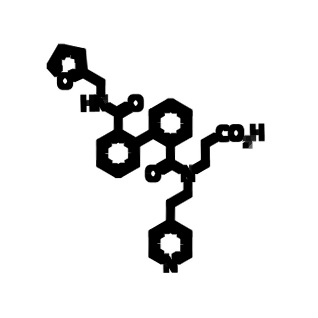 O=C(O)CCN(CCc1ccncc1)C(=O)c1ccccc1-c1ccccc1C(=O)NCc1ccco1